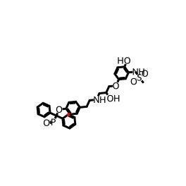 CS(=O)(=O)Nc1cc(OCC(O)CNCCc2ccc(OC(P=O)(c3ccccc3)c3ccccc3)cc2)ccc1O